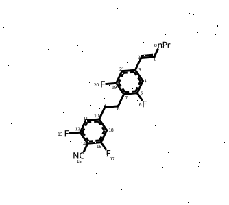 CCCC=Cc1cc(F)c(CCc2cc(F)c(C#N)c(F)c2)c(F)c1